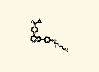 COCCNCCNc1ccc(-c2cc3c(N4CCN(C(=O)C5CC5)CC4)ccnn3c2)cc1